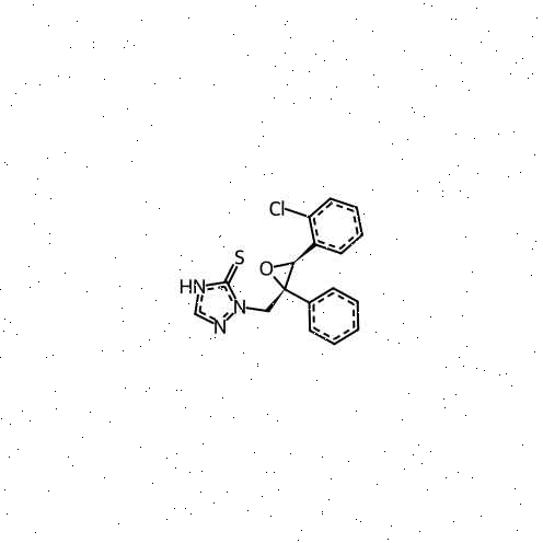 S=c1[nH]cnn1C[C@@]1(c2ccccc2)O[C@H]1c1ccccc1Cl